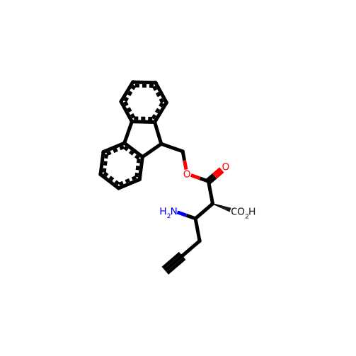 C#CCC(N)[C@H](C(=O)O)C(=O)OCC1c2ccccc2-c2ccccc21